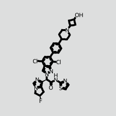 O=C(Nc1nccs1)[C@@H](c1ncn2c1C[C@@H](F)C2)n1cc2c(Cl)cc(-c3ccc(C4CCN(C5CC(O)C5)CC4)cc3)c(Cl)c2n1